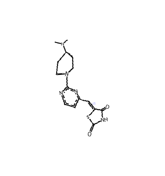 CN(C)C1CCN(c2nccc(/C=C3\SC(=O)NC3=O)n2)CC1